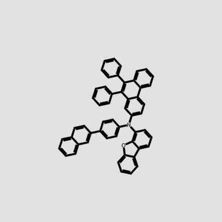 c1ccc(-c2c(-c3ccccc3)c3cc(N(c4ccc(-c5ccc6ccccc6c5)cc4)c4cccc5c4oc4ccccc45)ccc3c3ccccc23)cc1